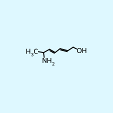 CC(N)/C=C/C=C/CO